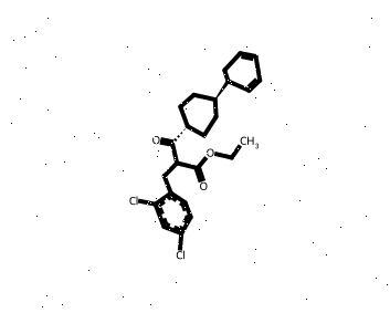 CCOC(=O)C(Cc1ccc(Cl)cc1Cl)C(=O)[C@H]1CC[C@H](C2C=CC=CC2)CC1